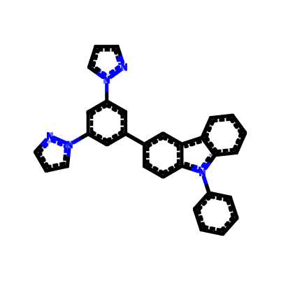 c1ccc(-n2c3ccccc3c3cc(-c4cc(-n5cccn5)cc(-n5cccn5)c4)ccc32)cc1